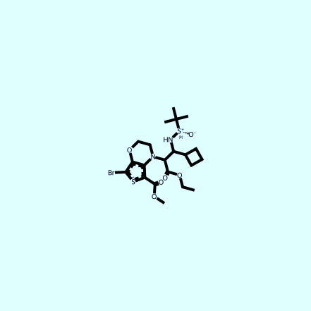 CCOC(=O)C(C(N[S@@+]([O-])C(C)(C)C)C1CCC1)N1CCOc2c(Br)sc(C(=O)OC)c21